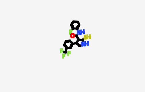 O=C(Nc1ccccc1F)C1C(S)NCC1c1cccc(C(F)(F)F)c1